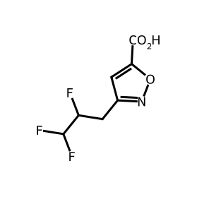 O=C(O)c1cc(CC(F)C(F)F)no1